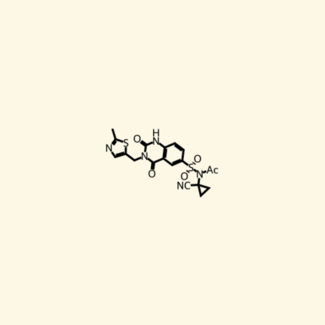 CC(=O)N(C1(C#N)CC1)S(=O)(=O)c1ccc2[nH]c(=O)n(Cc3cnc(C)s3)c(=O)c2c1